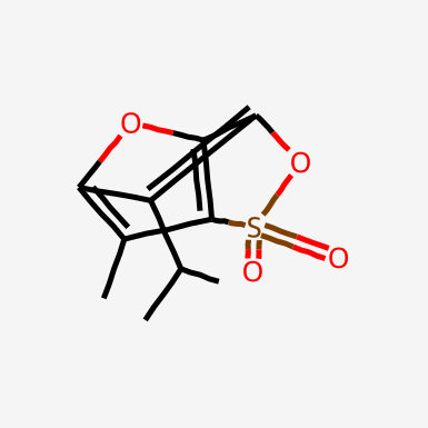 Cc1c2c3oc1c(C(C)C)c3OS2(=O)=O